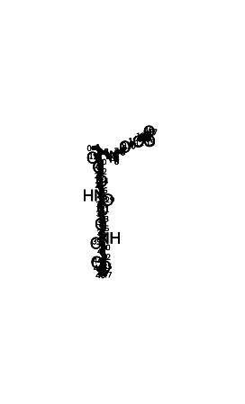 CCC(CCN(C)CCOCCOCC(=O)OC)C(=O)COCCOCCNC(=O)COCCOCCNC(=O)CCCC(=O)OC(C)(C)C